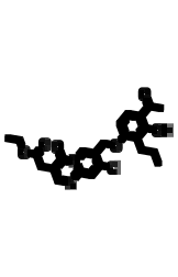 CCCc1c(OCc2cn3c(=O)c(CC(=O)OCC)cnc3cc2Cl)ccc(C(C)=O)c1O